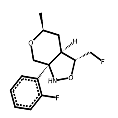 C[C@H]1C[C@H]2[C@H](CF)ON[C@@]2(c2ccccc2F)CO1